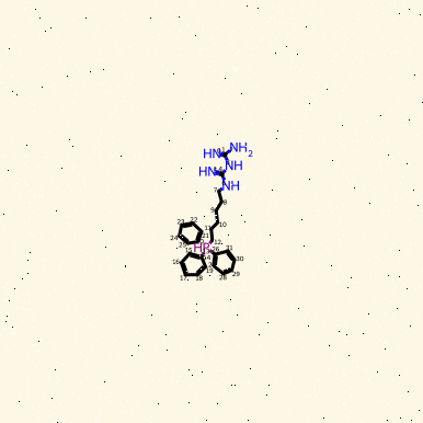 N=C(N)NC(=N)NCCCCCC[PH](c1ccccc1)(c1ccccc1)c1ccccc1